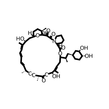 C/C1=C\CC([C@H](C)C[C@@H]2CC[C@@H](O)[C@H](O)C2)OC(=O)[C@@H]2CCCCN2C(=O)C(=O)[C@]2(O)O[C@@H](CC[C@H]2C)C[C@H](O)/C(C)=C/C=C/C=C/[C@@H](C)CC[C@@H](C)C(=O)C[C@@H]1O